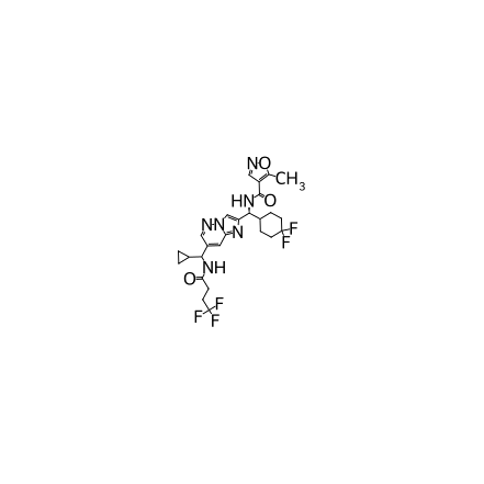 Cc1oncc1C(=O)N[C@H](c1cn2ncc(C(NC(=O)CCC(F)(F)F)C3CC3)cc2n1)C1CCC(F)(F)CC1